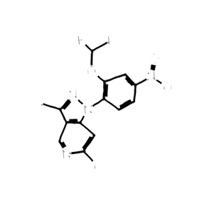 O=[N+]([O-])c1ccc(-n2nc(I)c3cnc(Cl)cc32)c(OC(F)F)c1